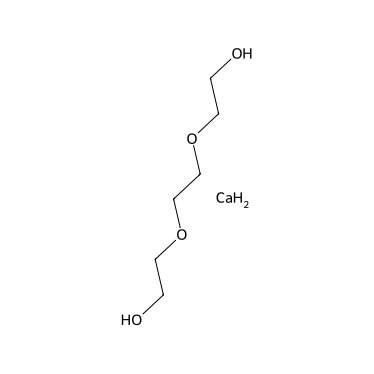 OCCOCCOCCO.[CaH2]